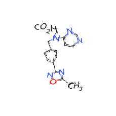 Cc1nc(-c2ccc(CN(C(=O)O)c3ccncn3)cc2)no1